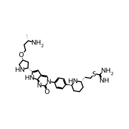 C[C@H](N)CCO[C@H]1CN[C@@H](c2cc3cn(-c4ccc([C@@H]5CCC[C@@H](CCSC(=N)N)N5)cc4)c(=O)nc3[nH]2)C1